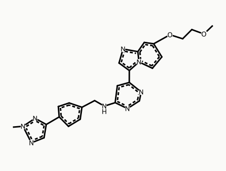 COCCOc1ccn2c(-c3cc(NCc4ccc(-c5cnn(C)n5)cc4)ncn3)cnc2c1